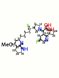 COc1cc(CCCCC(F)[C@@H]2CCN(C(c3cc(F)cnc3C3CCC3)C(O)O)C2)nc2c1CCCN2